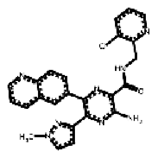 Cn1ccc(-c2nc(N)c(C(=O)NCc3ncccc3Cl)nc2-c2ccc3ncccc3c2)n1